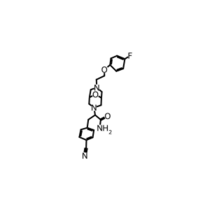 N#Cc1ccc(CC(C(N)=O)N2CC3CN(CCOc4ccc(F)cc4)CC(C2)O3)cc1